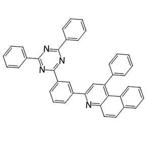 c1ccc(-c2nc(-c3ccccc3)nc(-c3cccc(-c4cc(-c5ccccc5)c5c(ccc6ccccc65)n4)c3)n2)cc1